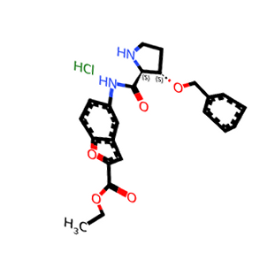 CCOC(=O)c1cc2cc(NC(=O)[C@H]3NCC[C@@H]3OCc3ccccc3)ccc2o1.Cl